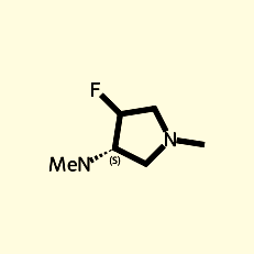 CN[C@H]1CN(C)CC1F